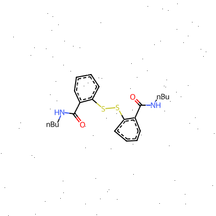 CCCCNC(=O)c1ccccc1SSc1ccccc1C(=O)NCCCC